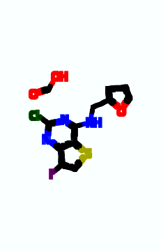 Clc1nc(NCc2ccco2)c2scc(I)c2n1.O=CO